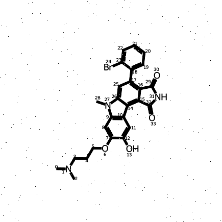 CN(C)CCCOc1cc2c(cc1O)c1c3c(c(-c4ccccc4Br)cc1n2C)C(=O)NC3=O